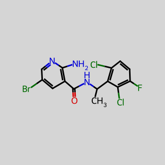 CC(NC(=O)c1cc(Br)cnc1N)c1c(Cl)ccc(F)c1Cl